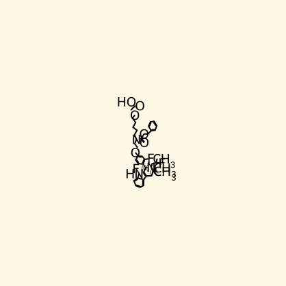 C[C@@H]1Cc2c([nH]c3ccccc23)[C@@H](c2c(F)cc(OCCN(CCCCCOCC(=O)O)C(=O)OCc3ccccc3)cc2F)N1CC(C)(C)F